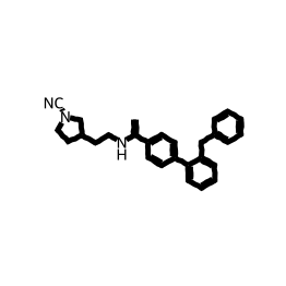 C=C(NCCC1CCN(C#N)C1)c1ccc(-c2ccccc2Cc2ccccc2)cc1